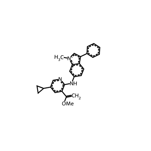 C=C(OC)c1cc(C2CC2)cnc1Nc1ccc2c(-c3ccccc3)cn(C)c2c1